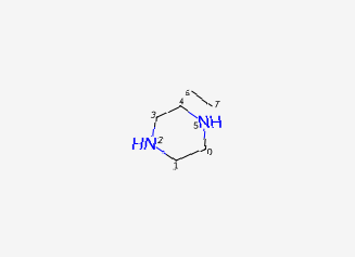 C1CNCCN1.CC